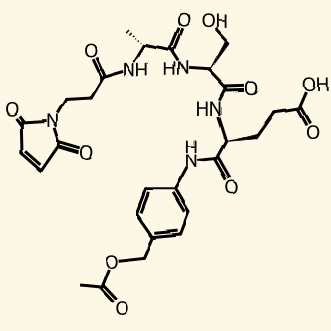 CC(=O)OCc1ccc(NC(=O)[C@H](CCC(=O)O)NC(=O)[C@H](CO)NC(=O)[C@@H](C)NC(=O)CCN2C(=O)C=CC2=O)cc1